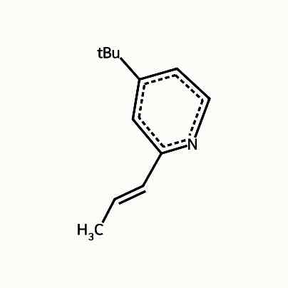 C/C=C/c1cc(C(C)(C)C)ccn1